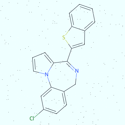 Clc1ccc2c(c1)-n1cccc1C(c1cc3ccccc3s1)=NC2